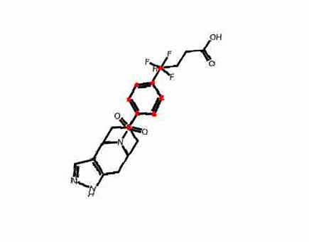 O=C(O)CCNc1ccc(C2CC3Cc4[nH]ncc4C(C2)N3S(=O)(=O)c2ccc(C(F)(F)F)cc2)cc1